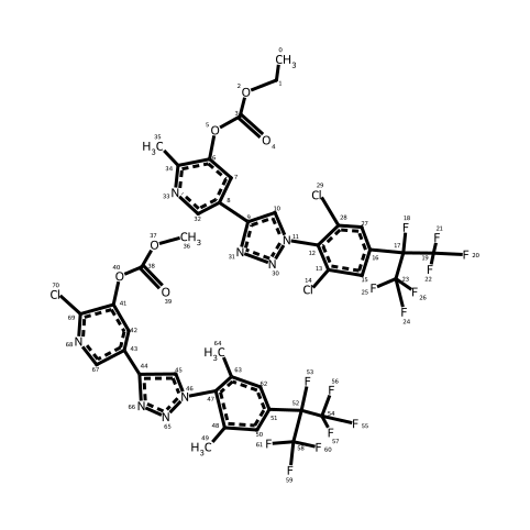 CCOC(=O)Oc1cc(-c2cn(-c3c(Cl)cc(C(F)(C(F)(F)F)C(F)(F)F)cc3Cl)nn2)cnc1C.COC(=O)Oc1cc(-c2cn(-c3c(C)cc(C(F)(C(F)(F)F)C(F)(F)F)cc3C)nn2)cnc1Cl